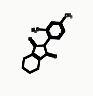 Cc1ccc(C2C(=O)C3=C(CCCC3)C2=O)c(C)c1